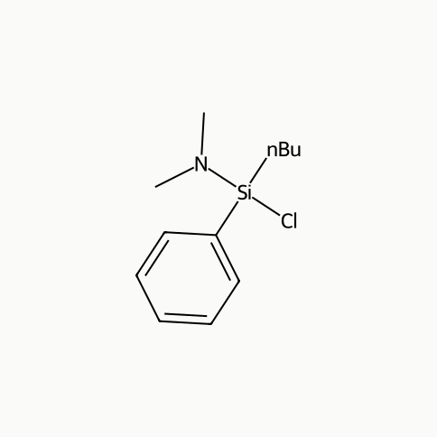 CCCC[Si](Cl)(c1ccccc1)N(C)C